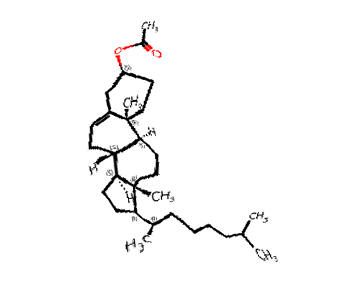 CC(=O)O[C@H]1CC[C@@]2(C)C(=CC[C@H]3[C@@H]4CC[C@H]([C@H](C)CCCCC(C)C)[C@@]4(C)CC[C@@H]32)C1